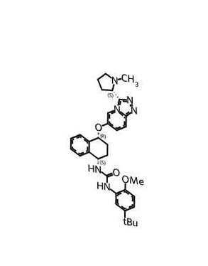 COc1ccc(C(C)(C)C)cc1NC(=O)N[C@H]1CC[C@@H](Oc2ccc3nnc([C@@H]4CCCN4C)n3c2)c2ccccc21